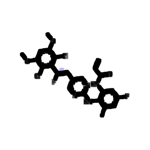 C=CC(=O)Nc1cc(F)cc(C)c1Nc1ncc(/C=C(\F)c2c(Cl)c(OC)cc(OC)c2Cl)cn1